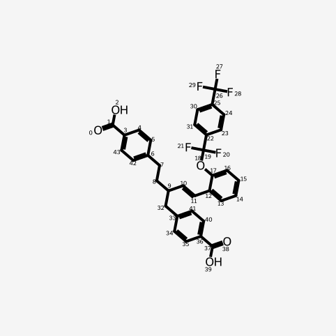 O=C(O)c1ccc(CCC(/C=C/c2ccccc2OC(F)(F)c2ccc(C(F)(F)F)cc2)Cc2ccc(C(=O)O)cc2)cc1